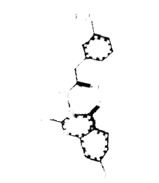 CCCc1nc2cc(F)ccc2c(=O)n1NC(=O)Cc1cccc(C(F)(F)F)c1